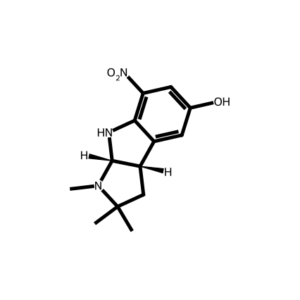 CN1[C@@H]2Nc3c(cc(O)cc3[N+](=O)[O-])[C@@H]2CC1(C)C